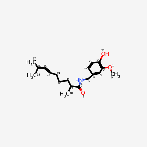 COc1cc(CNC(=O)C(C)CCC/C=C/C(C)C)ccc1O